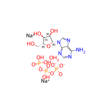 Nc1ncnc2c1ncn2[C@@H]1O[C@H](CO)[C@@H](O)[C@H]1O.O.O=P([O-])([O-])OP(=O)(O)OP(=O)(O)O.[Na+].[Na+]